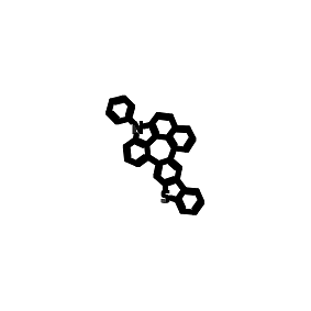 c1ccc(-n2c3cccc4c3c3c5c(cccc5ccc32)-c2cc3c(cc2-4)sc2ccccc23)cc1